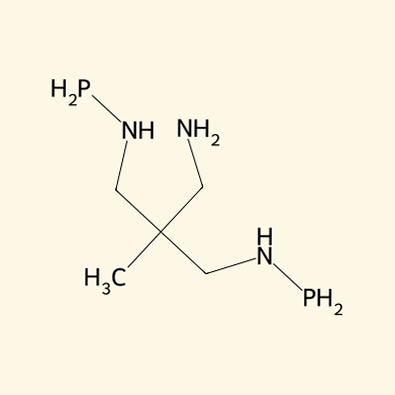 CC(CN)(CNP)CNP